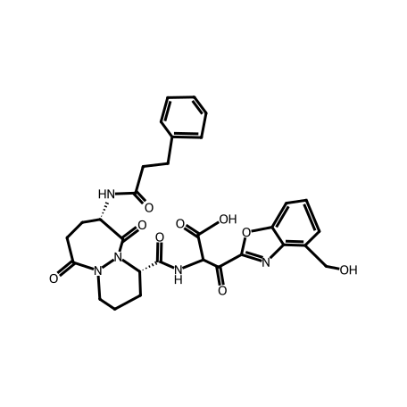 O=C(CCc1ccccc1)N[C@H]1CCC(=O)N2CCC[C@@H](C(=O)NC(C(=O)O)C(=O)c3nc4c(CO)cccc4o3)N2C1=O